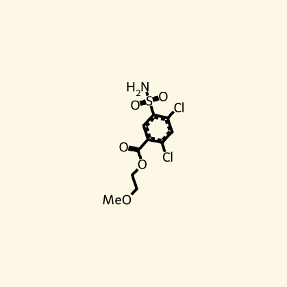 COCCOC(=O)c1cc(S(N)(=O)=O)c(Cl)cc1Cl